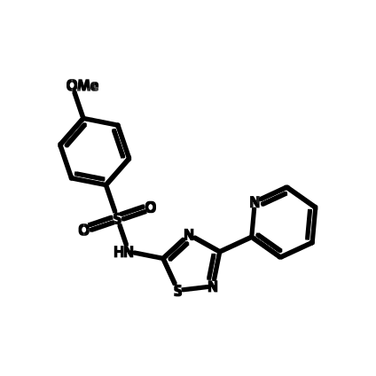 COc1ccc(S(=O)(=O)Nc2nc(-c3ccccn3)ns2)cc1